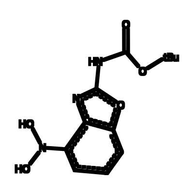 CC(C)(C)OC(=O)Nc1nc2c(N(O)O)cccc2o1